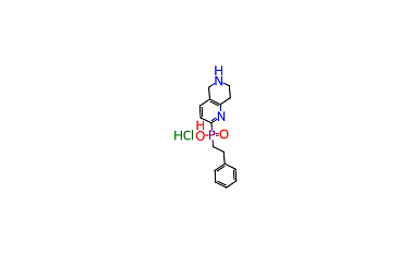 Cl.O=P(O)(CCc1ccccc1)c1ccc2c(n1)CCNC2